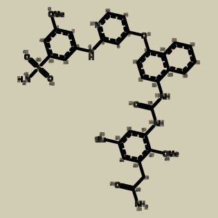 COc1cc(Nc2cc(Oc3ccc(NC(=O)Nc4cc(C(C)(C)C)cc(CC(N)=O)c4OC)c4ccccc34)ccn2)cc(S(N)(=O)=O)c1